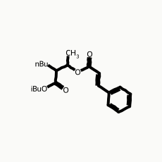 CCCCC(C(=O)OCC(C)C)C(C)OC(=O)C=Cc1ccccc1